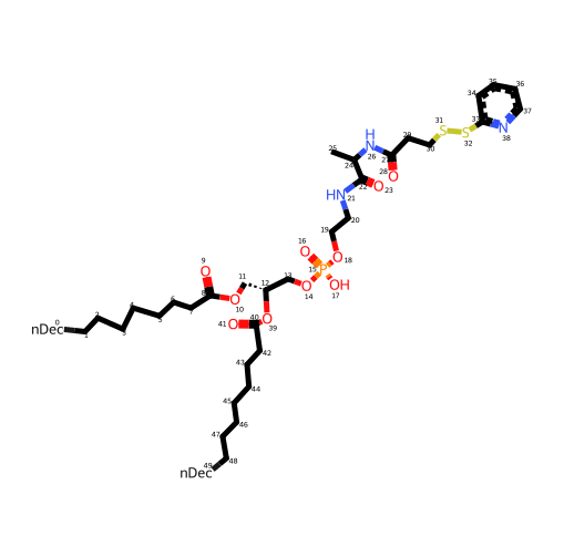 CCCCCCCCCCCCCCCCCC(=O)OC[C@H](COP(=O)(O)OCCNC(=O)C(C)NC(=O)CCSSc1ccccn1)OC(=O)CCCCCCCCCCCCCCCCC